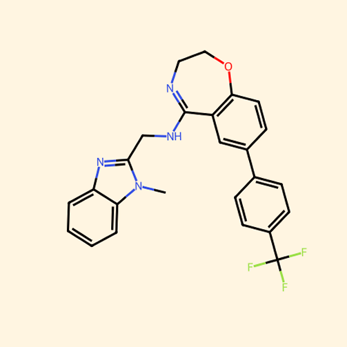 Cn1c(CNC2=NCCOc3ccc(-c4ccc(C(F)(F)F)cc4)cc32)nc2ccccc21